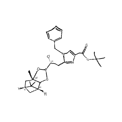 CC(C)(C)OC(=O)c1cn(Cc2ccccc2)c(C[C@@H](Cl)B2OC3[C@@H]4C[C@H](C[C@]3(C)O2)C4(C)C)n1